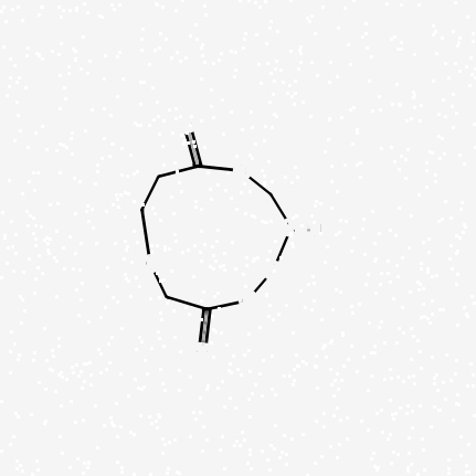 Cl.O=C1CCCCC(=O)OCNCO1